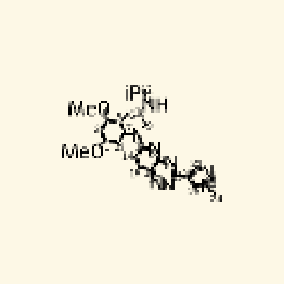 COc1cc(OC)c(C)c(N(CCNC(C)C)c2ccc3nnc(-c4cnn(C)c4)nc3n2)c1